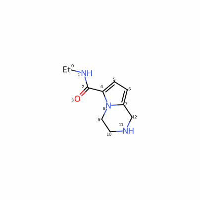 CCNC(=O)c1ccc2n1CCNC2